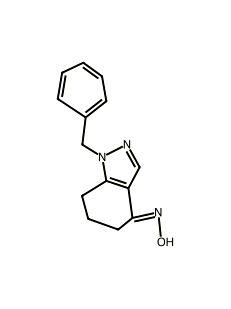 ON=C1CCCc2c1cnn2Cc1ccccc1